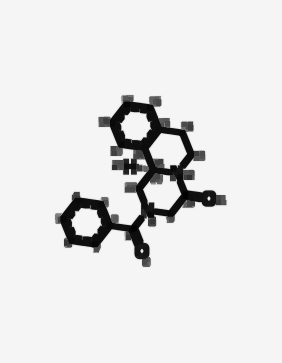 O=C(c1ccccc1)N1CC(=O)N2CCc3ccccc3[C@@H]2C1